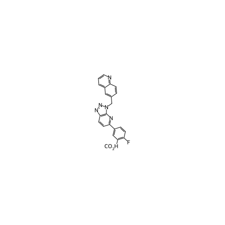 O=C(O)c1cc(-c2ccc3nnn(Cc4ccc5ncccc5c4)c3n2)ccc1F